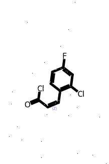 O=C(Cl)/C=C\c1ccc(F)cc1Cl